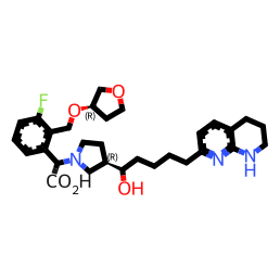 O=C(O)C(c1cccc(F)c1CO[C@@H]1CCOC1)N1CC[C@@H](C(O)CCCCc2ccc3c(n2)NCCC3)C1